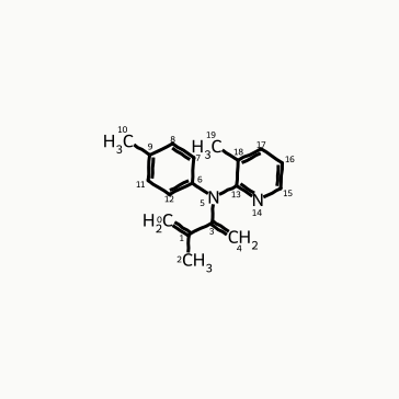 C=C(C)C(=C)N(c1ccc(C)cc1)c1ncccc1C